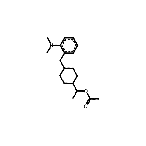 CC(=O)OC(C)C1CCC(Cc2ccccc2N(C)C)CC1